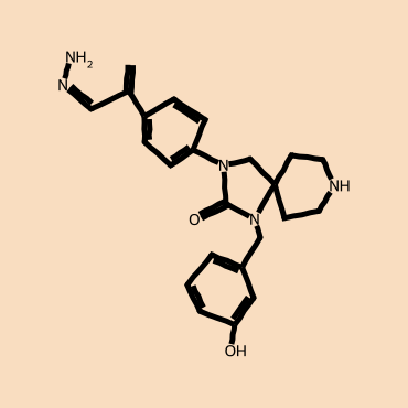 C=C(/C=N\N)c1ccc(N2CC3(CCNCC3)N(Cc3cccc(O)c3)C2=O)cc1